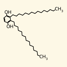 CCCCCCCCCCCCCCCc1c(O)ccc(O)c1CCCCCCCCCCCCCCC